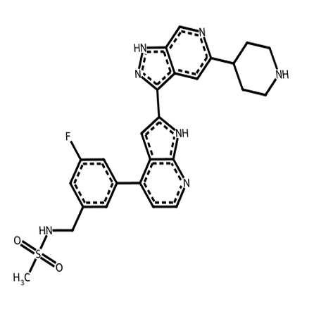 CS(=O)(=O)NCc1cc(F)cc(-c2ccnc3[nH]c(-c4n[nH]c5cnc(C6CCNCC6)cc45)cc23)c1